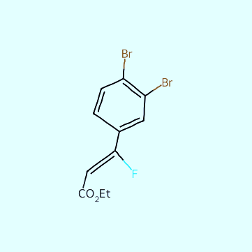 CCOC(=O)C=C(F)c1ccc(Br)c(Br)c1